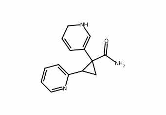 NC(=O)C1(C2=CNCC=C2)CC1c1ccccn1